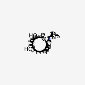 C=C1C(C)[C@@H](O)[C@@H](C)CCC[C@@H]2CC[C@H]2C[C@@H](/C(C)=C/c2csc(C)n2)OC(=O)C[C@H](O)C1(C)C